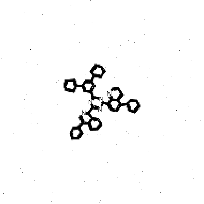 c1ccc(-c2cc(-c3ccccc3)cc(-c3nc(-c4ncc(-c5ccccc5)c5ccccc45)nc(-c4ccc(-c5ccccc5)c5cccnc45)n3)c2)cc1